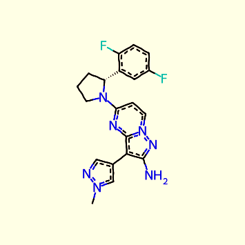 Cn1cc(-c2c(N)nn3ccc(N4CCC[C@@H]4c4cc(F)ccc4F)nc23)cn1